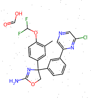 Cc1cc(C2(c3cccc(-c4cncc(Cl)n4)c3)COC(N)=N2)ccc1OC(F)F.O=CO